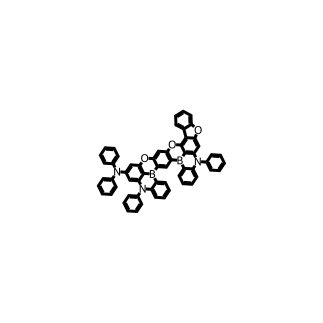 c1ccc(N(c2ccccc2)c2cc3c4c(c2)N(c2ccccc2)c2ccccc2B4c2cc4c(cc2O3)Oc2c3c(cc5oc6ccccc6c25)N(c2ccccc2)c2ccccc2B43)cc1